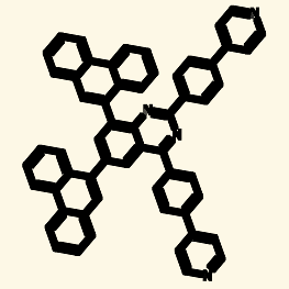 c1ccc2c(c1)cc(-c1cc(-c3cc4ccccc4c4ccccc34)c3nc(-c4ccc(-c5ccncc5)cc4)nc(-c4ccc(-c5ccncc5)cc4)c3c1)c1ccccc12